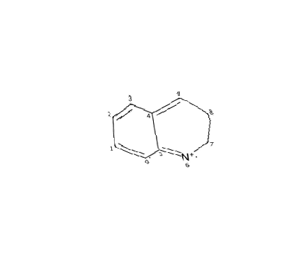 [c]1cccc2c1=[N+]CCC=2